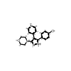 Clc1ccc(-c2[nH]nc(N3CCOCC3)c2-c2ccncc2)cc1